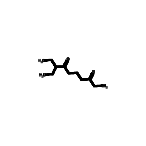 CCC(=O)CCCC(=O)C(CC)CC